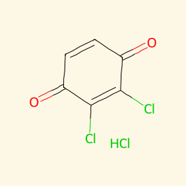 Cl.O=C1C=CC(=O)C(Cl)=C1Cl